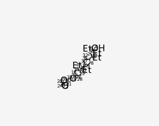 CCC(=CC(O)(CC)CC)c1ccc(C(CC)(CC)c2ccc(OCC3COC(C)(C)O3)c(C)c2)cc1C